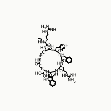 CCN[C@@H](CCCNC(=N)N)C(=O)N[C@H]1CCCNC(=O)CC[C@@H](C(=O)O)NC(=O)[C@H](Cc2c[nH]c3ccccc23)NC(=O)[C@H](CCCNC(=N)N)NC(=O)[C@@H](Cc2ccccc2)NC(=O)[C@H](Cc2c[nH]cn2)NC1=O